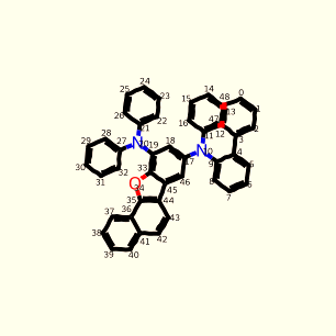 c1ccc(-c2ccccc2N(c2ccccc2)c2cc(N(c3ccccc3)c3ccccc3)c3oc4c5ccccc5ccc4c3c2)cc1